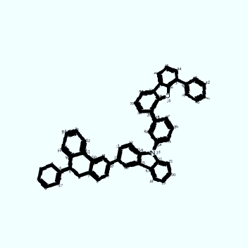 C1=CCCC(C2Cc3ccc(-c4ccc5c(c4)c4ccccc4n5-c4cccc(-c5cccc6c5oc5c(-c7ccccc7)cccc56)c4)cc3-c3ccccc32)=C1